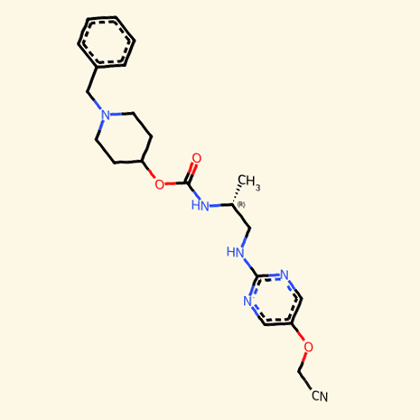 C[C@H](CNc1ncc(OCC#N)cn1)NC(=O)OC1CCN(Cc2ccccc2)CC1